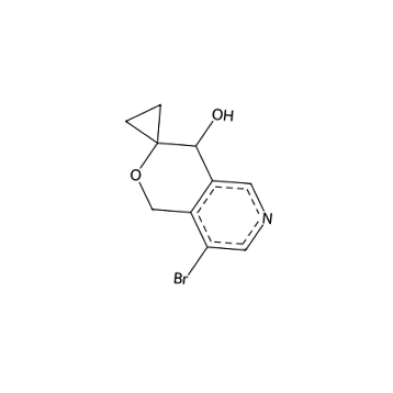 OC1c2cncc(Br)c2COC12CC2